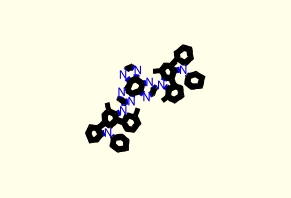 Cc1cccc2c3c(c(C)cc4c5ccccc5n(-c5ccccc5)c43)n(-c3cnc4c5nccnc5c5nc(-n6c7c(C)cccc7c7c6c(C)cc6c8ccccc8n(-c8ccccc8)c67)cnc5c4n3)c12